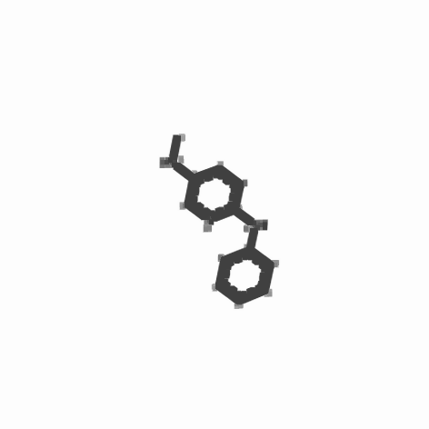 CNc1ccc(Nc2ccccc2)nc1